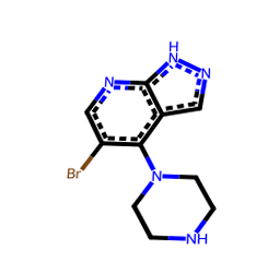 Brc1cnc2[nH]ncc2c1N1CCNCC1